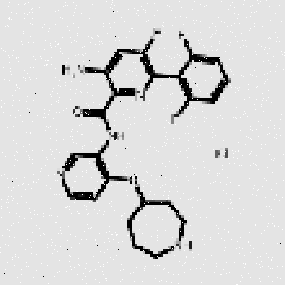 Cl.Nc1cc(F)c(-c2c(F)cccc2F)nc1C(=O)Nc1cnccc1OC1CCCNCC1